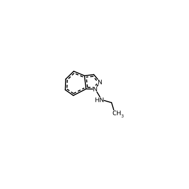 CCNn1ncc2ccccc21